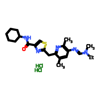 CCN(C)C=Nc1cc(C)c(Cc2nc(C(=O)NC3CCCCC3)cs2)nc1C.Cl.Cl